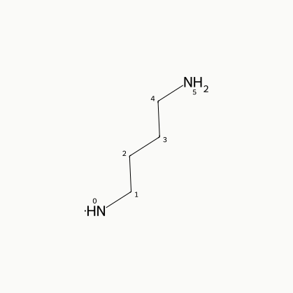 [NH]CCCCN